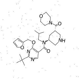 CC(C)CN(C(=O)c1cnc(C(C)(C)C)nc1OCc1ccco1)[C@@H]1CNC[C@@H](C(=O)N2CCOCC2)C1